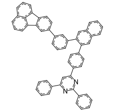 c1ccc(-c2cc(-c3ccc(-c4cc5ccccc5cc4-c4cccc(-c5ccc6c(c5)-c5cccc7cccc-6c57)c4)cc3)nc(-c3ccccc3)n2)cc1